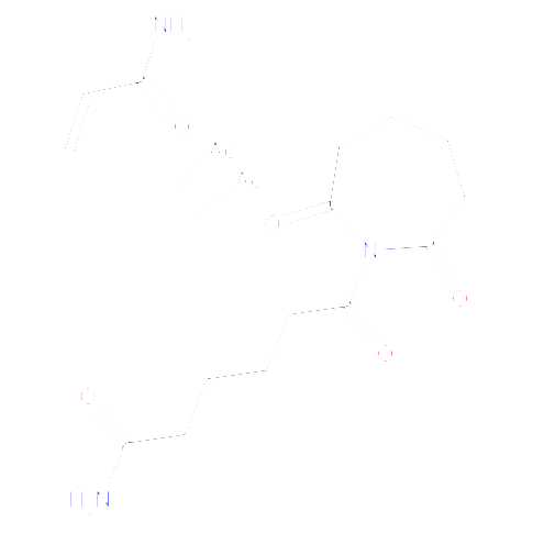 C=CC(N)=O.CC(C)=O.CC(C)=O.NC(=O)CCCCC(=O)N1C(=O)CCCCC1=O